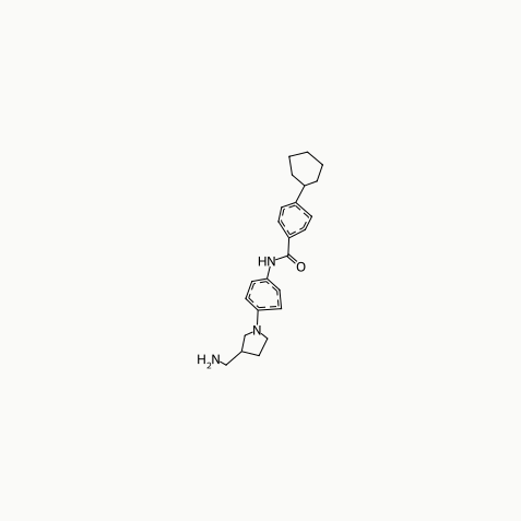 NCC1CCN(c2ccc(NC(=O)c3ccc(C4CCCCC4)cc3)cc2)C1